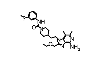 CCOCc1nc2c(N)nc(C)c(C)c2n1CCC1CCN(C(=O)Nc2cccc(SC)c2)CC1